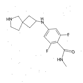 CNC(=O)c1c(F)cc(NC2CC3(CCNC3)C2)cc1F